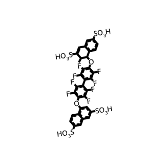 CC1C(S(=O)(=O)O)=Cc2cc(S(=O)(=O)O)ccc2C1Oc1c(F)c(F)c(-c2c(F)c(F)c(Oc3cc(S(=O)(=O)O)cc4cc(S(=O)(=O)O)ccc34)c(F)c2F)c(F)c1F